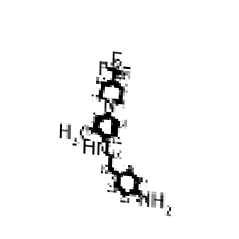 Cc1cc(N2CCC(C(F)(F)F)CC2)ccc1NCCC1CCC(N)CC1